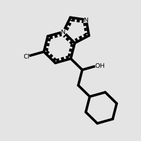 OC(CC1CCCCC1)c1cc(Cl)cn2cncc12